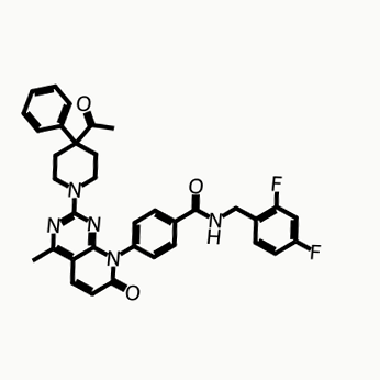 CC(=O)C1(c2ccccc2)CCN(c2nc(C)c3ccc(=O)n(-c4ccc(C(=O)NCc5ccc(F)cc5F)cc4)c3n2)CC1